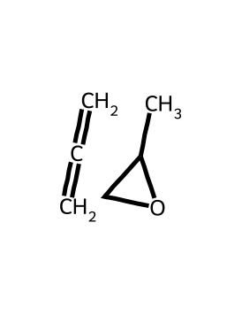 C=C=C.CC1CO1